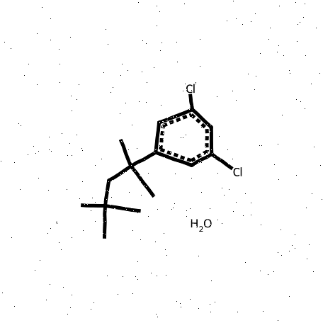 CC(C)(C)CC(C)(C)c1cc(Cl)cc(Cl)c1.O